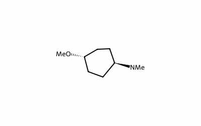 CN[C@H]1CC[C@H](OC)CC1